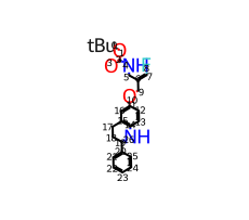 CC(C)(C)OC(=O)NC/C(=C\F)COc1ccc2c(c1)CCC(c1ccccc1)N2